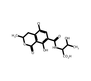 CC1Cc2c(Cl)cc(C(=O)NC(C(=O)O)C(C)O)c(O)c2C(=O)O1